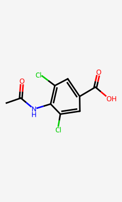 CC(=O)Nc1c(Cl)cc(C(=O)O)cc1Cl